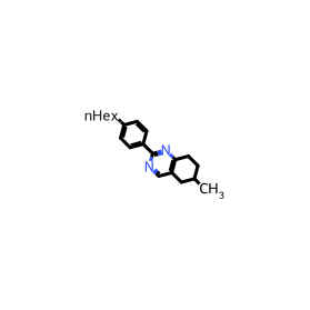 CCCCCCc1ccc(-c2ncc3c(n2)CCC(C)C3)cc1